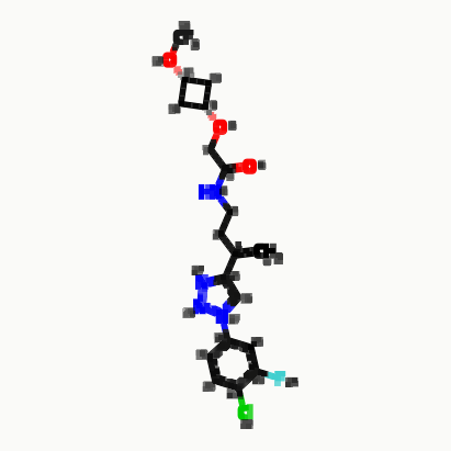 C=C(CCNC(=O)CO[C@H]1C[C@@H](OC(F)(F)F)C1)c1cn(-c2ccc(Cl)c(F)c2)nn1